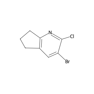 Clc1nc2c(cc1Br)CCC2